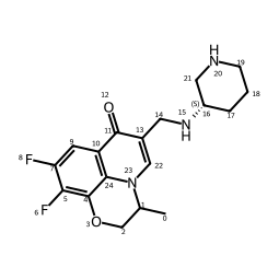 CC1COc2c(F)c(F)cc3c(=O)c(CN[C@H]4CCCNC4)cn1c23